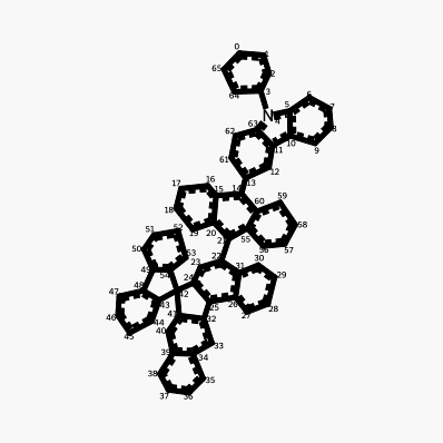 c1ccc(-n2c3ccccc3c3cc(-c4c5ccccc5c(-c5cc6c(c7ccccc57)-c5cc7ccccc7cc5C65c6ccccc6-c6ccccc65)c5ccccc45)ccc32)cc1